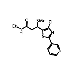 CCNC(=O)CC(SC)c1sc(-c2cccnc2)nc1Cl